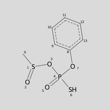 CS(=O)OP(=O)(S)Oc1ccccc1